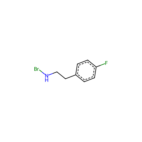 Fc1ccc(CCNBr)cc1